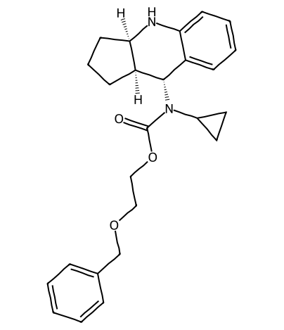 O=C(OCCOCc1ccccc1)N(C1CC1)[C@H]1c2ccccc2N[C@@H]2CCC[C@@H]21